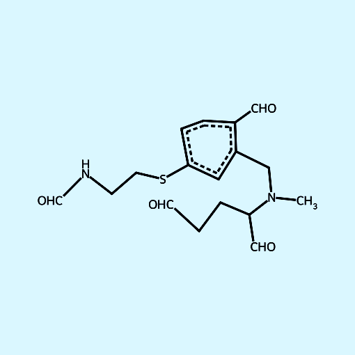 CN(Cc1cc(SCCNC=O)ccc1C=O)C(C=O)CCC=O